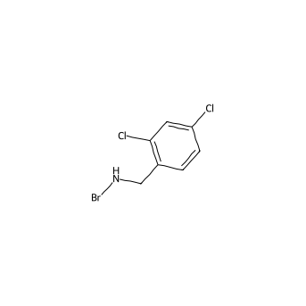 Clc1ccc(CNBr)c(Cl)c1